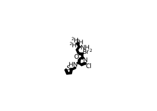 [2H]C([2H])([2H])[C@@H](N)Cc1oc2c(NCc3cccs3)cc(Cl)nc2c1Br